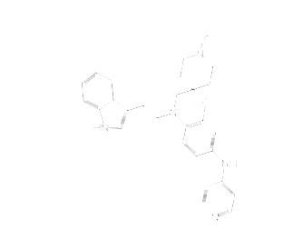 CC(C)N1CCC2(CC1)CN(CCC1=CNC3=CC=CCC13)c1ccc(Nc3ccncc3)cc1O2